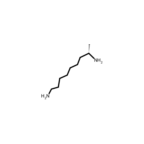 C[C@H](N)CCCCCCCN